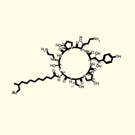 CCC(C)CC(C)CCCCCCCCC(=O)N[C@H]1C[C@@H](O)[C@@H](NCCN)NC(=O)[C@@H]2[C@@H](O)CCN2C(=O)[C@H]([C@H](O)CCN)NC(=O)[C@H]([C@H](O)[C@@H](O)c2ccc(O)cc2)NC(=O)[C@@H]2C[C@@H](O)CN2C(=O)C([C@@H](C)O)NC1=O